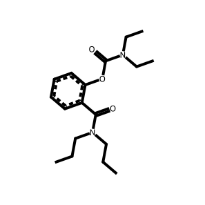 CCCN(CCC)C(=O)c1ccccc1OC(=O)N(CC)CC